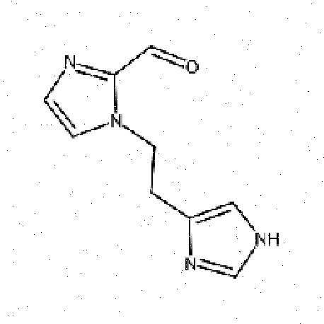 O=Cc1nccn1CCc1c[nH]cn1